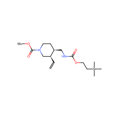 C=C[C@H]1CN(C(=O)OC(C)(C)C)CC[C@H]1CNC(=O)OCC[Si](C)(C)C